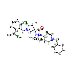 C[C@H]1CN(Cc2c(Cl)cccc2C(F)F)C(CC(=O)O)[C@H]1C(=O)NC1CCN(CC2CCCCC2)CC1